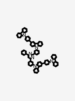 c1ccc(-c2cc(-c3cccc(-n4c5ccccc5c5cc(-c6ccc(-n7c8ccccc8c8ccccc87)cc6)ccc54)c3)nc(-c3cccc(-n4c5ccccc5c5cc(-c6ccc(-n7c8ccccc8c8ccccc87)cc6)ccc54)c3)n2)cc1